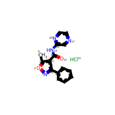 Cc1onc(-c2ccccc2)c1C(=O)Nc1cnccn1.Cl